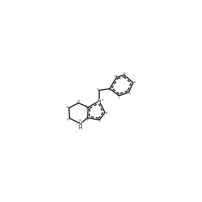 c1ccc(Cn2ccc3c2CCCN3)cc1